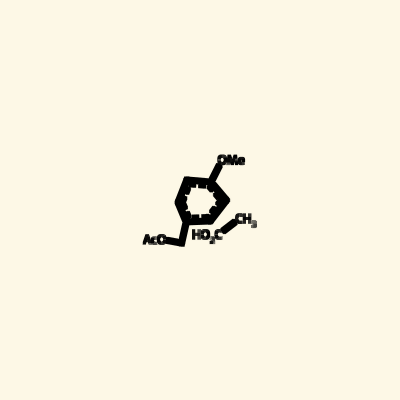 CC(=O)O.COc1ccc(COC(C)=O)cc1